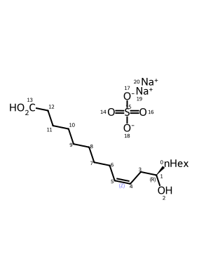 CCCCCC[C@@H](O)C/C=C\CCCCCCCC(=O)O.O=S(=O)([O-])[O-].[Na+].[Na+]